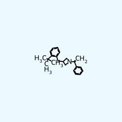 C=C(c1ccccc1)N1CC(Cc2ccccc2C(C)(C)C)C1